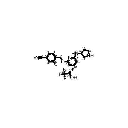 N#Cc1ccc(COc2cccc(NC3CCNC3)n2)c(F)c1.O=C(O)C(F)(F)F